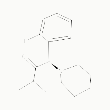 CC(C)C(=O)[C@@H](c1ccccc1F)N1CCCCC1